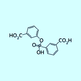 O=C(O)c1cccc(OP(=O)(O)c2cccc(C(=O)O)c2)c1